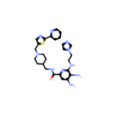 Nc1cc(C(=O)NCC2CCN(Cc3cnc(-c4ccccn4)s3)CC2)nc(NCCn2ccnc2)c1N